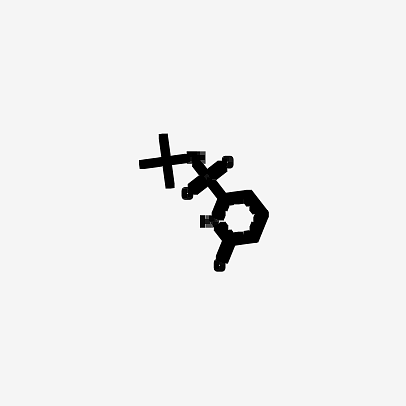 CC(C)(C)NS(=O)(=O)c1cccc(=O)[nH]1